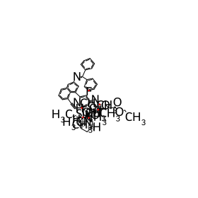 CCOC(=O)COc1nc(N2C[C@H]3CC[C@@H](C2)N3C(=O)OC(C)(C)C)c2cnc(-c3cc(N=C(c4ccccc4)c4ccccc4)cc4cccc(C#C[Si](C(C)C)(C(C)C)C(C)C)c34)c(F)c2n1